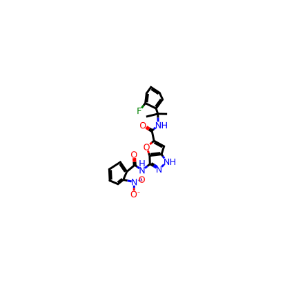 CC(C)(NC(=O)c1cc2[nH]nc(NC(=O)c3ccccc3[N+](=O)[O-])c2o1)c1ccccc1F